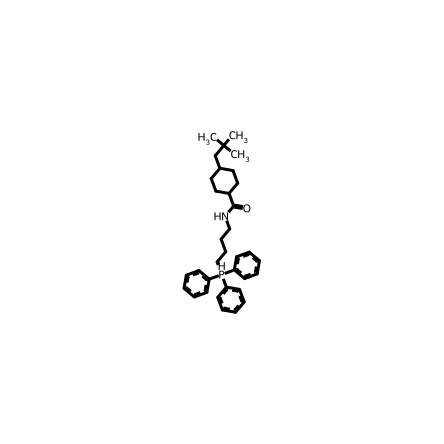 CC(C)(C)CC1CCC(C(=O)NCCCC[PH](c2ccccc2)(c2ccccc2)c2ccccc2)CC1